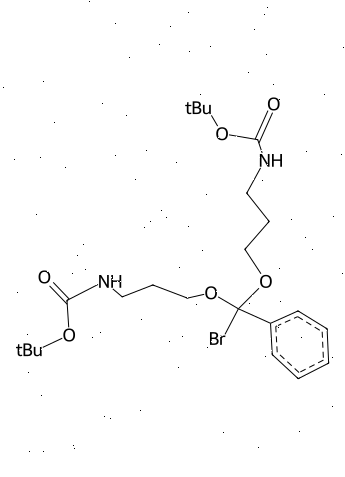 CC(C)(C)OC(=O)NCCCOC(Br)(OCCCNC(=O)OC(C)(C)C)c1ccccc1